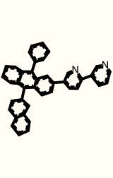 c1ccc(-c2c3ccccc3c(-c3ccc4ccccc4c3)c3ccc(-c4ccc(-c5cccnc5)nc4)cc23)cc1